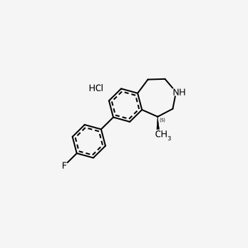 C[C@@H]1CNCCc2ccc(-c3ccc(F)cc3)cc21.Cl